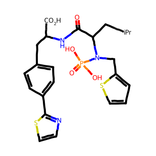 CC(C)CC(C(=O)NC(Cc1ccc(-c2nccs2)cc1)C(=O)O)N(Cc1cccs1)P(=O)(O)O